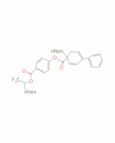 CCCCCCCCCC1(C(=O)Oc2ccc(C(=O)OC(CCCCCC)C(F)(F)F)cc2)C=CC(c2ccccc2)=CC1